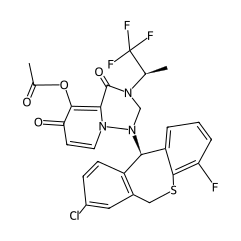 CC(=O)Oc1c2n(ccc1=O)N([C@@H]1c3ccc(Cl)cc3CSc3c(F)cccc31)CN([C@H](C)C(F)(F)F)C2=O